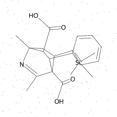 CC1=NC2(C)CC(C[Si](C)(C)C)C1(C(=O)O)C(c1ccccc1)C2C(=O)O